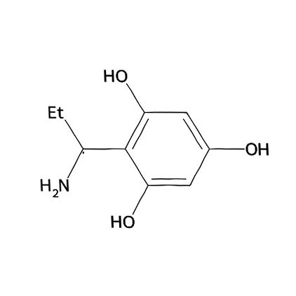 CC[C](N)c1c(O)cc(O)cc1O